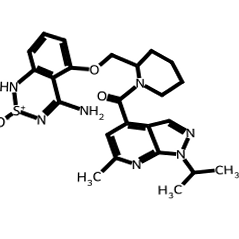 Cc1cc(C(=O)N2CCCCC2COc2cccc3c2C(N)=N[S+]([O-])N3)c2cnn(C(C)C)c2n1